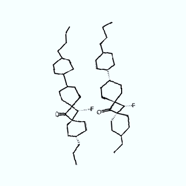 CCCCC1CCC(C2CCC3(CC2)C(=O)[C@]2(CC[C@@H](CCC)CC2)[C@H]3F)CC1.CCCCC1CCC([C@H]2CC[C@]3(CC2)C(=O)[C@@]2(CCC(CC)CC2)[C@H]3F)CC1